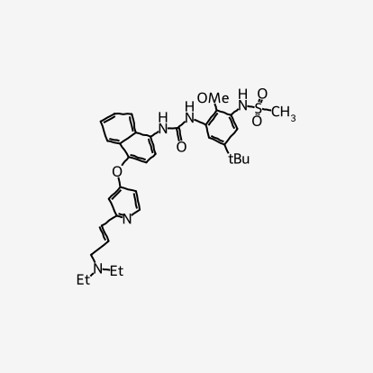 CCN(CC)C/C=C/c1cc(Oc2ccc(NC(=O)Nc3cc(C(C)(C)C)cc(NS(C)(=O)=O)c3OC)c3ccccc23)ccn1